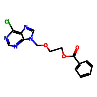 O=C(OCCOCn1cnc2c(Cl)ncnc21)c1ccccc1